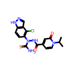 CC(C)n1ccc(C(=O)NN(C(N)=S)c2ccc3[nH]ncc3c2Cl)cc1=O